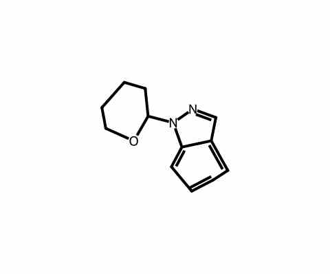 c1ccc2c(c1)cnn2C1CCCCO1